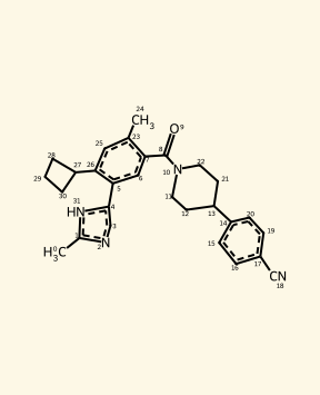 Cc1ncc(-c2cc(C(=O)N3CCC(c4ccc(C#N)cc4)CC3)c(C)cc2C2CCC2)[nH]1